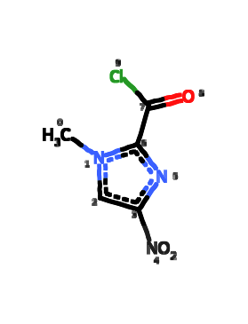 Cn1cc([N+](=O)[O-])nc1C(=O)Cl